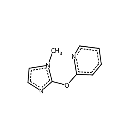 Cn1ccnc1Oc1ccccn1